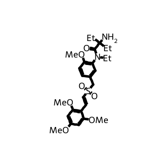 CCN(C(=O)C(N)(CC)CC)c1cc(CS(=O)(=O)/C=C/c2c(OC)cc(OC)cc2OC)ccc1OC